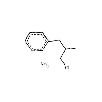 CC(CCl)Cc1ccccc1.N